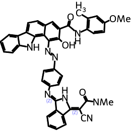 CNC(=O)/C(C#N)=C1\N/C(=N\c2ccc(N=Nc3c(O)c(C(=O)Nc4ccc(OC)cc4C)cc4ccc5c6ccccc6[nH]c5c34)cc2)c2ccccc21